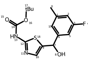 Cc1cc(F)cc(C(O)c2cnc(NC(=O)OC(C)(C)C)s2)c1